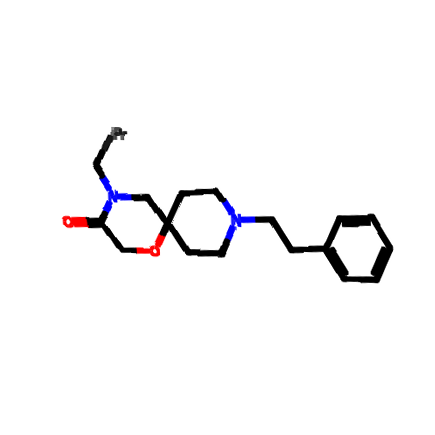 CC(C)CN1CC2(CCN(CCc3ccccc3)CC2)OCC1=O